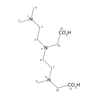 CN(C)CCN(CCN(C)CC(=O)O)CC(=O)O